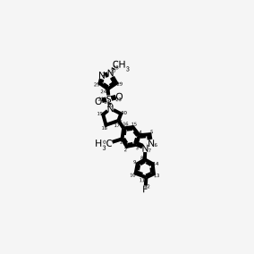 Cc1cc2c(cnn2-c2ccc(F)cc2)cc1[C]1CCN(S(=O)(=O)c2cnn(C)c2)C1